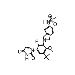 COc1c(C(C)(C)C)cc(-n2ccc(=O)[nH]c2=O)c(F)c1N1Cc2ccc(NS(C)(=O)=O)cc2C1